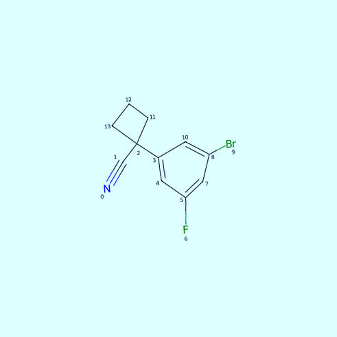 N#CC1(c2cc(F)cc(Br)c2)CCC1